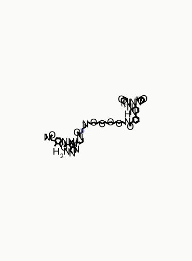 Cc1c(CC(=O)N(C)C)ccc(NC(=O)c2nn([C@@H]3CCCN(C(=O)/C=C/CN(C)CCOCCOCCOCCOCCNC(=O)c4cccc(-c5ccc6c(N7CCOC[C@H]7C)nc(N7CCOC[C@H]7C)nc6n5)c4)C3)c3ncnc(N)c23)c1C